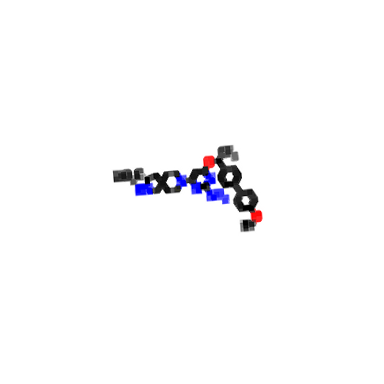 CC(C)Oc1ccc(-c2ccc(C(Oc3cc(N4CCC5(CC4)CN[C@H](C(=O)O)C5)nc(N)n3)C(F)(F)F)cc2)cc1